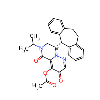 CC(=O)Oc1c2n(ncc1=O)[C@@H](C1c3ccccc3CCc3ccccc31)CN(C(C)C)C2=O